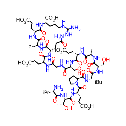 CC[C@H](C)[C@H](NC(=O)[C@@H]1CCCN1C(=O)[C@H](CCC(=O)O)NC(=O)[C@@H](NC(=O)[C@@H](N)C(C)C)[C@@H](C)O)C(=O)N[C@@H](CO)C(=O)N[C@@H](C)C(=O)N[C@@H](CCC(=O)O)C(=O)N[C@@H](CO)C(=O)NCC(=O)N[C@@H](CCC(=O)O)C(=O)N[C@@H](CCC(N)=O)C(=O)N[C@H](C(=O)N[C@@H](CCC(=O)O)C(=O)N[C@@H](CCCNC(=N)N)C(=O)O)C(C)C